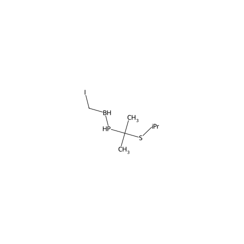 CC(C)SC(C)(C)PBCI